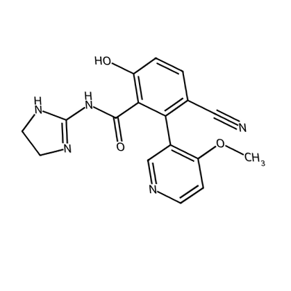 COc1ccncc1-c1c(C#N)ccc(O)c1C(=O)NC1=NCCN1